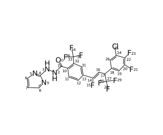 O=C(NNc1ncccn1)c1ccc(/C(F)=C/C(c2cc(F)c(F)c(Cl)c2)C(F)(F)F)cc1C(F)(F)F